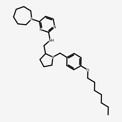 CCCCCCCOc1ccc(CN2CCCC2CNc2nccc(N3CCCCCC3)n2)cc1